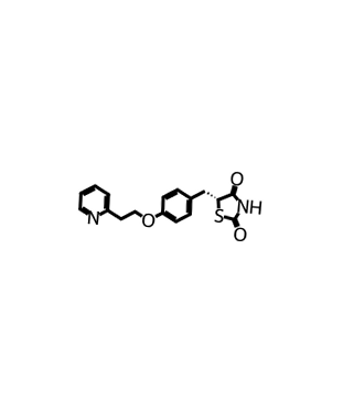 O=C1NC(=O)[C@@H](Cc2ccc(OCCc3ccccn3)cc2)S1